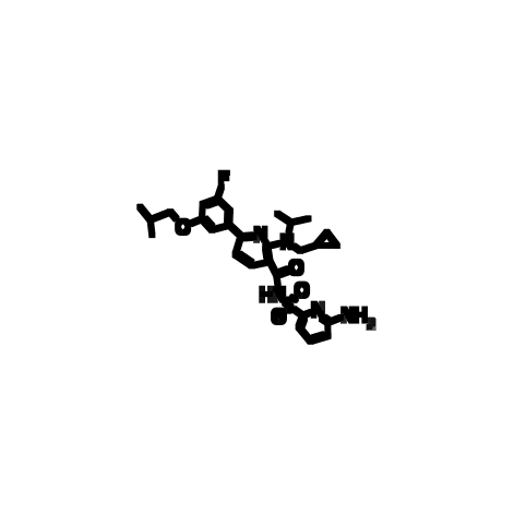 CC(C)COc1cc(F)cc(-c2ccc(C(=O)NS(=O)(=O)c3cccc(N)n3)c(N(CC3CC3)C(C)C)n2)c1